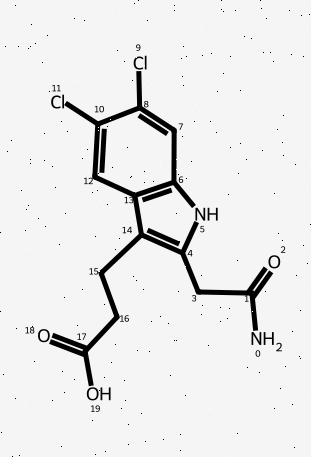 NC(=O)Cc1[nH]c2cc(Cl)c(Cl)cc2c1CCC(=O)O